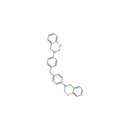 c1ccc2c(c1)CN(c1ccc(Cc3ccc(N4COc5ccccc5C4)cc3)cc1)CO2